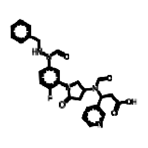 O=CN(NCc1ccccc1)c1ccc(F)c(N2CC(N(C=O)C(CC(=O)O)c3cccnc3)CC2=O)c1